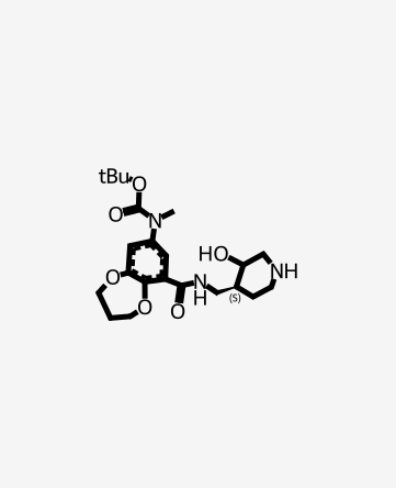 CN(C(=O)OC(C)(C)C)c1cc2c(c(C(=O)NC[C@@H]3CCNCC3O)c1)OCCCO2